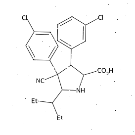 CCC(CC)C1NC(C(=O)O)C(c2cccc(Cl)c2)C1(C#N)c1ccc(Cl)cc1